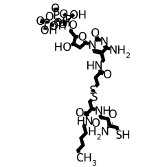 CCCCCCNC(=O)C(CSSCCC(=O)NCc1cn(C2CC(O)C(COP(=O)(O)OP(=O)(O)OP(=O)(O)O)O2)c(=O)nc1N)NC(=O)C(=O)[C@@H](N)CS